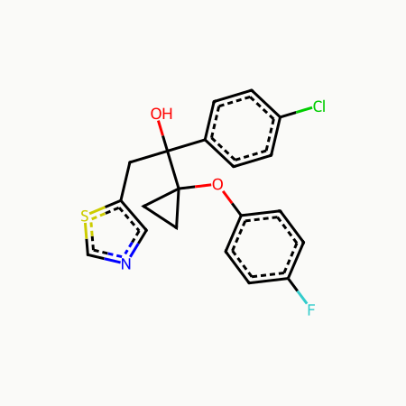 OC(Cc1cncs1)(c1ccc(Cl)cc1)C1(Oc2ccc(F)cc2)CC1